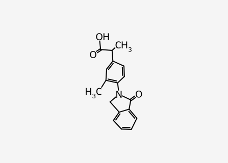 Cc1cc(C(C)C(=O)O)ccc1N1Cc2ccccc2C1=O